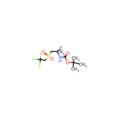 CC(CS(=O)(=O)CC(F)(F)F)NC(=O)OC(C)(C)C